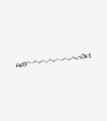 CCCCCCCCC=CCCCCCCCCCCCCOC(C)=O